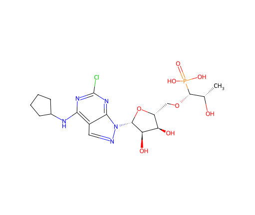 C[C@H](O)[C@H](OC[C@H]1O[C@@H](n2ncc3c(NC4CCCC4)nc(Cl)nc32)[C@H](O)[C@@H]1O)P(=O)(O)O